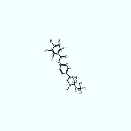 CN(CC(O)c1ccc(OC(=O)c2c(F)c(F)c(F)c(F)c2F)cc1)C(=O)OC(C)(C)C